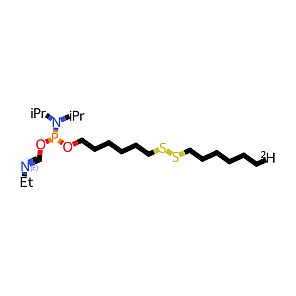 [2H]CCCCCCSSCCCCCCOP(O/C=N/CC)N(C(C)C)C(C)C